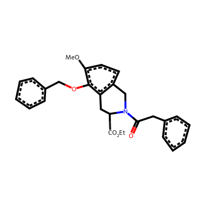 CCOC(=O)C1Cc2c(ccc(OC)c2OCc2ccccc2)CN1C(=O)Cc1ccccc1